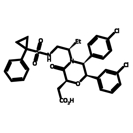 CC[C@@H](CNS(=O)(=O)C1(c2ccccc2)CC1)N1C(=O)[C@H](CC(=O)O)O[C@H](c2cccc(Cl)c2)[C@H]1c1ccc(Cl)cc1